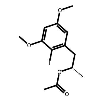 COc1cc(C[C@H](C)OC(C)=O)c(I)c(OC)c1